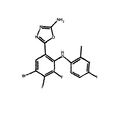 Cc1cc(I)ccc1Nc1c(-c2nnc(N)o2)cc(Br)c(F)c1F